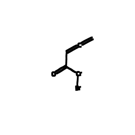 C=C=C[C](=O)[Cr][Br]